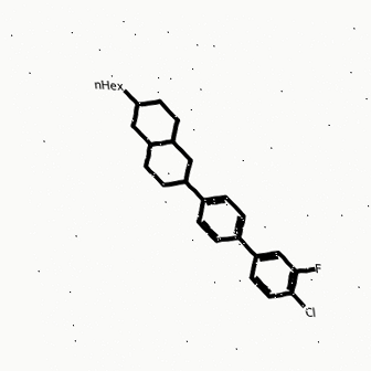 CCCCCCC1CCC2CC(c3ccc(-c4ccc(Cl)c(F)c4)cc3)CCC2C1